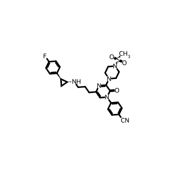 CS(=O)(=O)N1CCN(c2nc(CCCN[C@@H]3C[C@H]3c3ccc(F)cc3)cn(-c3ccc(C#N)cc3)c2=O)CC1